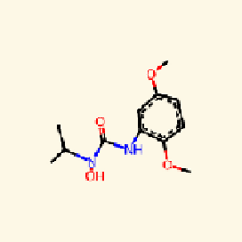 COc1ccc(OC)c(NC(=O)N(O)C(C)C)c1